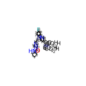 O=C(NC1CCCCC1)N1CCN(CCCN(c2ccc(F)cc2)c2ccccn2)CC1.O=C(O)/C=C/C(=O)O.O=C(O)/C=C/C(=O)O